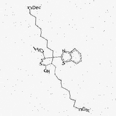 CCCCCCCCCCCCCCCCCCC(C(O)=S)C(CCCCCCCCCCCCCCCCCC)(C(O)=S)c1nc2ccccc2s1